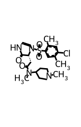 Cc1cc(S(=O)(=O)N2C=CNC(=O)[C@H]2CC(=O)N(C)C2CCN(C)CC2)c(C)cc1Cl